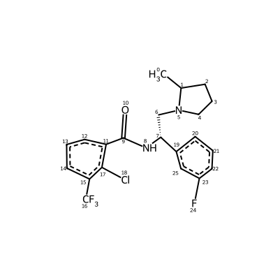 CC1CCCN1C[C@@H](NC(=O)c1cccc(C(F)(F)F)c1Cl)c1cccc(F)c1